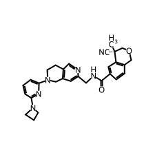 C[C@@]1(C#N)COCc2ccc(C(=O)NCc3cc4c(cn3)CCN(c3cccc(N5CCC5)n3)C4)cc21